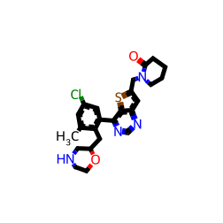 Cc1cc(Cl)cc(-c2ncnc3cc(CN4CCCCC4=O)sc23)c1CC1CNCCO1